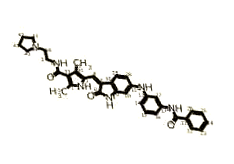 Cc1[nH]c(/C=C2\C(=O)Nc3cc(Nc4cccc(NC(=O)c5ccccc5)c4)ccc32)c(C)c1C(=O)NCCN1CCCC1